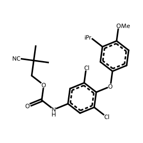 COc1ccc(Oc2c(Cl)cc(NC(=O)OCC(C)(C)C#N)cc2Cl)cc1C(C)C